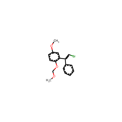 COCOc1ccc(OC)cc1C(=CBr)c1ccccc1